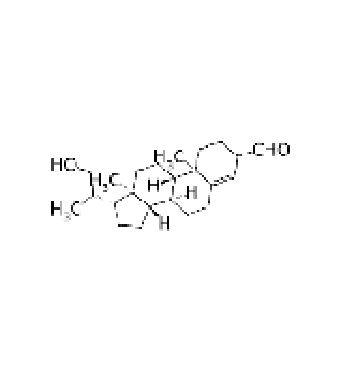 CC(CO)[C@H]1CC[C@H]2[C@@H]3CCC4=CC(C=O)CC[C@]4(C)[C@H]3CC[C@]12C